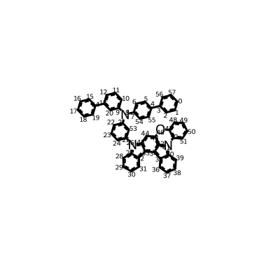 c1ccc(-c2ccc(N(c3cccc(-c4ccccc4)c3)c3cccc(-n4c5ccccc5c5c6c7ccccc7n7c6c(cc54)Oc4ccccc4-7)c3)cc2)cc1